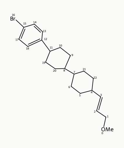 COCC=CC1CCC(C2CCC(c3ccc(Br)cc3)CC2)CC1